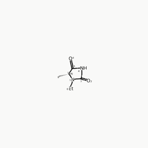 CCN1C(=O)NC(=O)[C@H]1C